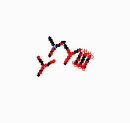 CCCCCCCC[N+](C)(CCCCCCCC)CCCCCCCC.CCCCCCCC[N+](C)(CCCCCCCC)CCCCCCCC.CCCCCCCC[N+](C)(CCCCCCCC)CCCCCCCC.O=C(O)CCCCCCCCC(=O)O.O=C([O-])CCCCCCCCC(=O)O.O=C([O-])CCCCCCCCC(=O)[O-]